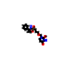 O=c1ccn(COCCCS(=O)(=O)NC2(c3ccccc3)CC2)c(=O)[nH]1